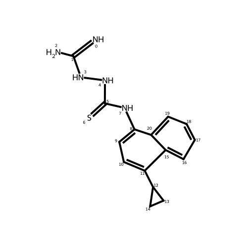 N=C(N)NNC(=S)Nc1ccc(C2CC2)c2ccccc12